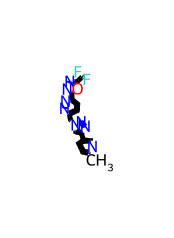 Cc1ccc(-c2cn(Cc3ccc(-c4nnc(C(F)F)o4)nn3)nn2)cn1